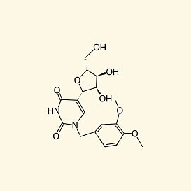 COc1ccc(Cn2cc([C@@H]3O[C@H](CO)[C@@H](O)[C@H]3O)c(=O)[nH]c2=O)cc1OC